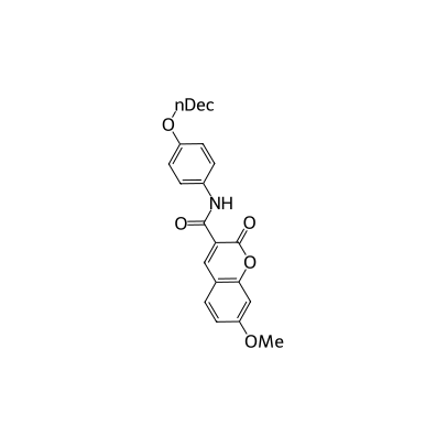 CCCCCCCCCCOc1ccc(NC(=O)c2cc3ccc(OC)cc3oc2=O)cc1